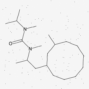 CC1CCCCCCCC(CC(C)N(C)C(=O)N(C)C(C)C)C1